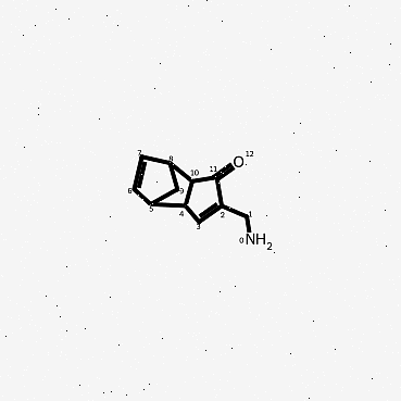 NCC1=CC2C3C=CC(C3)C2C1=O